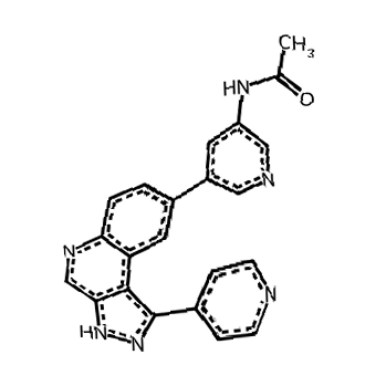 CC(=O)Nc1cncc(-c2ccc3ncc4[nH]nc(-c5ccncc5)c4c3c2)c1